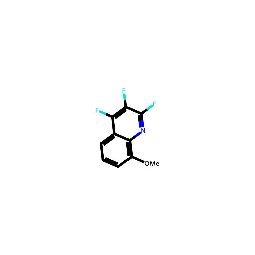 COc1cccc2c(F)c(F)c(F)nc12